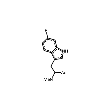 CNC(Cc1c[nH]c2cc(F)ccc12)C(C)=O